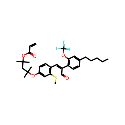 C=CC(=O)OC(C)(C)CC(C)(C)Oc1ccc(/C=C(\C=O)c2ccc(CCCCC)cc2OC(F)(F)F)c(SC)c1